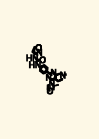 C[C@H]1COCCN1c1nc(-c2ccc(NC(=O)Nc3ccon3)cc2)nc2c1CCN(C)C2